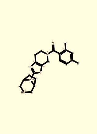 Cc1ccc(C(=O)N2CCc3nc(N4C5CCC4CNC5)sc3C2)c(C)c1